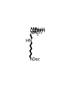 CC(=O)O.CC(=O)O.CC(=O)O.CCCCCCCCCCCCCCCCNCCN.[NaH]